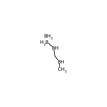 B.BBCBC